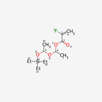 C=C(F)C(=O)OC(C)OC(C)O[Si](CC)(CC)CC